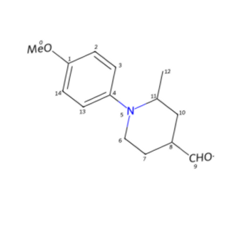 COc1ccc(N2CCC([C]=O)CC2C)cc1